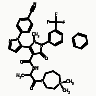 CC(NC(=O)c1c(-c2ccnn2-c2ccc(C#N)cc2)n(C)n(-c2cccc(C(F)(F)F)c2)c1=O)C(=O)N1CCC[N+](C)(C)CC1.c1ccccc1